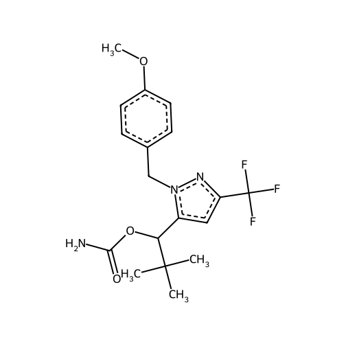 COc1ccc(Cn2nc(C(F)(F)F)cc2C(OC(N)=O)C(C)(C)C)cc1